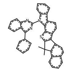 CC1(C)c2sc3c(ccc4c5ccccc5n(-c5nc(-c6ccccc6)c6ccccc6n5)c43)c2-c2ccc3ccccc3c21